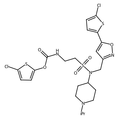 CC(C)N1CCC(N(Cc2cc(-c3ccc(Cl)s3)on2)S(=O)(=O)CCNC(=O)Oc2ccc(Cl)s2)CC1